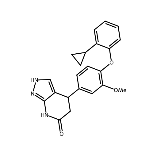 COc1cc(C2CC(=O)Nc3n[nH]cc32)ccc1Oc1ccccc1C1CC1